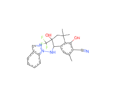 Cc1cc2c(c(O)c1C#N)C(C)(C)CC(O)(C(F)(F)F)C2Nn1ncc2ccccc21